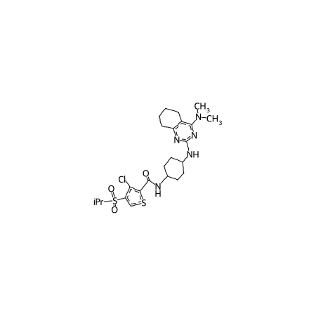 CC(C)S(=O)(=O)c1csc(C(=O)NC2CCC(Nc3nc4c(c(N(C)C)n3)CCCC4)CC2)c1Cl